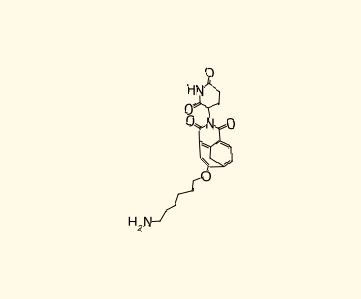 NCCCCCCOC1=CC2=C3CC1=CC=C3C(=O)N(C1CCC(=O)NC1=O)C2=O